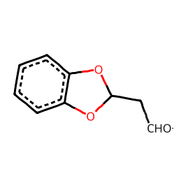 O=[C]CC1Oc2ccccc2O1